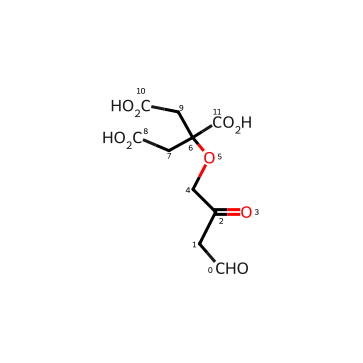 O=CCC(=O)COC(CC(=O)O)(CC(=O)O)C(=O)O